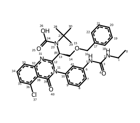 CCNC(=O)Nc1cccc(-n2c([C@H](COCc3ccccc3)N(C(=O)O)C(C)(C)C)nc3cccc(Cl)c3c2=O)c1